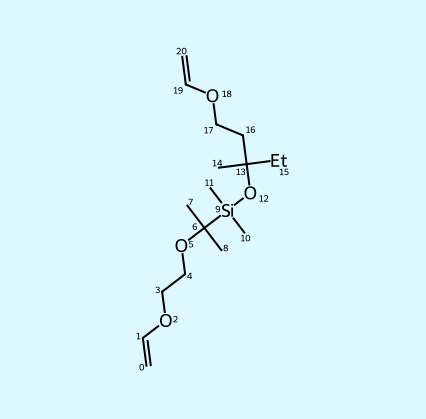 C=COCCOC(C)(C)[Si](C)(C)OC(C)(CC)CCOC=C